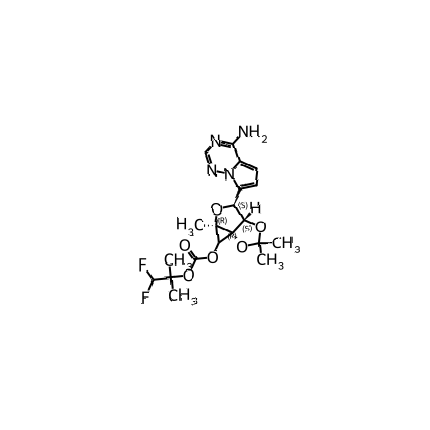 CC1(C)O[C@H]2[C@H](c3ccc4c(N)ncnn34)O[C@]3(C)C(OC(=O)OC(C)(C)C(F)F)[C@]23O1